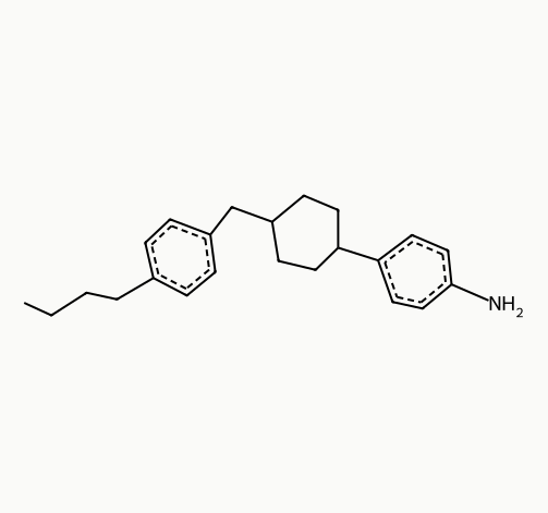 CCCCc1ccc(CC2CCC(c3ccc(N)cc3)CC2)cc1